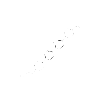 CCCC1CCC(c2c[c]c(-c3ccc(C4CCC(CC)CC4)cn3)cc2)CC1